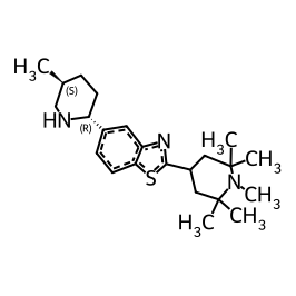 C[C@H]1CC[C@H](c2ccc3sc(C4CC(C)(C)N(C)C(C)(C)C4)nc3c2)NC1